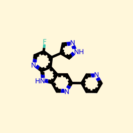 Fc1cnc2[nH]c3cnc(-c4cccnc4)cc3c2c1-c1cn[nH]c1